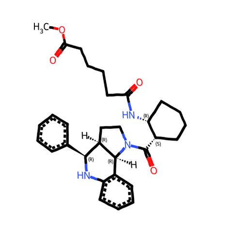 COC(=O)CCCCC(=O)N[C@@H]1CCCC[C@@H]1C(=O)N1CC[C@@H]2[C@H](c3ccccc3)Nc3ccccc3[C@@H]21